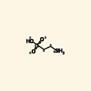 O=S(=O)(O)CC[SiH3]